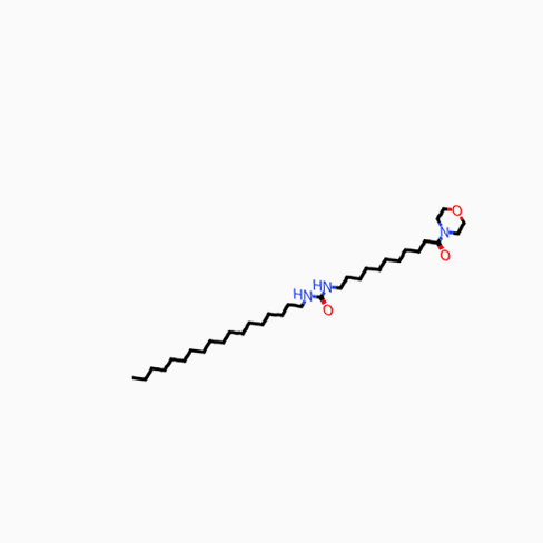 CCCCCCCCCCCCCCCCCCNC(=O)NCCCCCCCCCCC(=O)N1CCOCC1